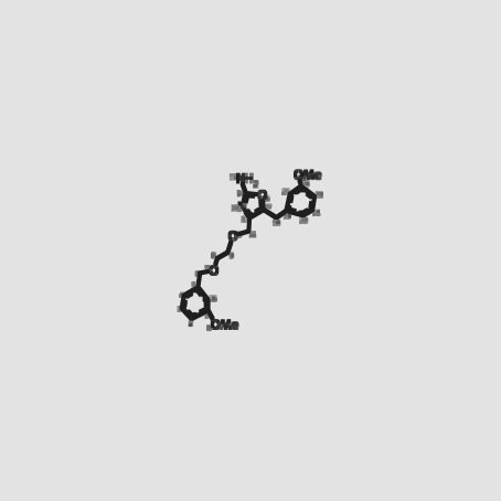 COc1cccc(COCCOCc2nc(N)oc2Cc2cccc(OC)c2)c1